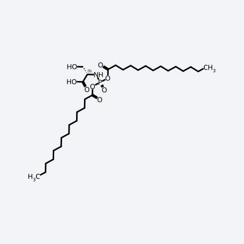 CCCCCCCCCCCCCC(=O)OP(=O)(N[C@@H](CO)C(=O)O)OC(=O)CCCCCCCCCCCCC